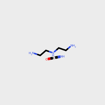 N=C=O.NCCNCCN